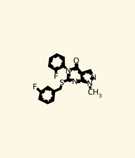 Cn1ncc2c(=O)n(-c3ccccc3F)c(SCc3cccc(F)c3)nc21